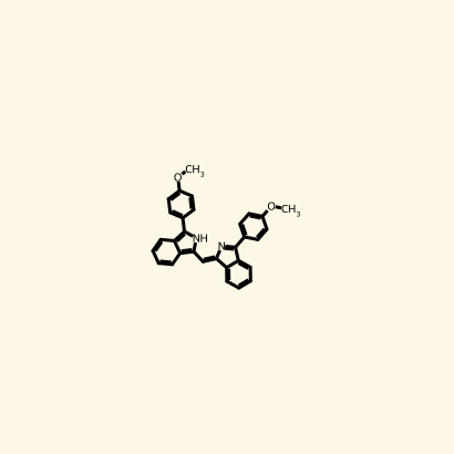 COc1ccc(C2=NC(=Cc3[nH]c(-c4ccc(OC)cc4)c4ccccc34)c3ccccc32)cc1